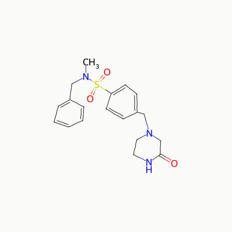 CN(Cc1ccccc1)S(=O)(=O)c1ccc(CN2CCNC(=O)C2)cc1